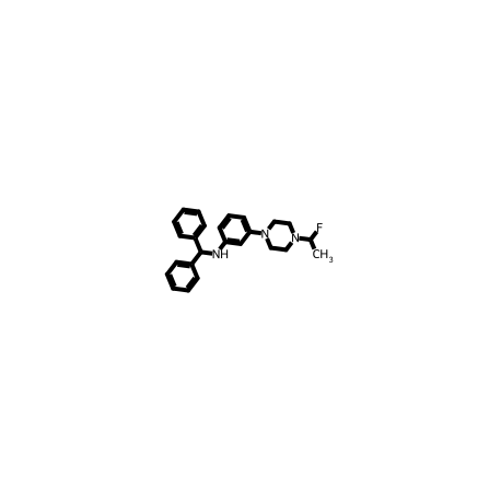 CC(F)N1CCN(c2cccc(NC(c3ccccc3)c3ccccc3)c2)CC1